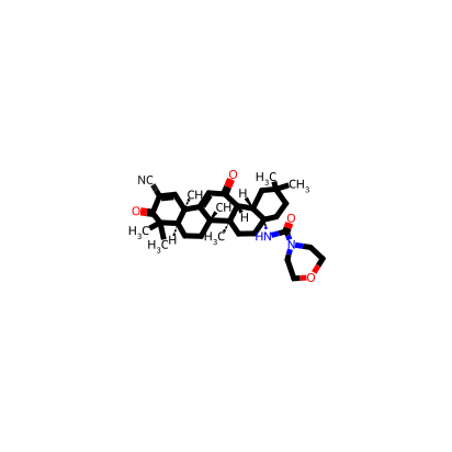 CC1(C)CC[C@@]2(NC(=O)N3CCOCC3)CC[C@]3(C)[C@H](C(=O)C=C4[C@]5(C)C=C(C#N)C(=O)C(C)(C)[C@@H]5CC[C@]43C)[C@@H]2C1